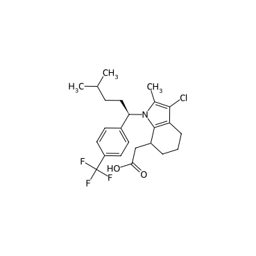 Cc1c(Cl)c2c(n1[C@H](CCC(C)C)c1ccc(C(F)(F)F)cc1)C(CC(=O)O)CCC2